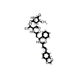 CCC(CC)C(NC(=O)C[C@H](NC(=O)/C=C/c1ccc2c(c1)OCO2)c1ccccc1)C(=O)[C@@H]1C(=O)NC(=O)[C@H]1C